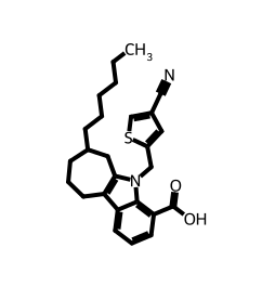 CCCCCCC1CCCc2c(n(Cc3cc(C#N)cs3)c3c(C(=O)O)cccc23)C1